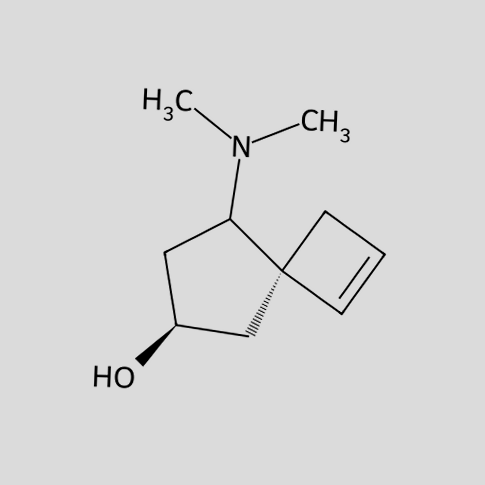 CN(C)C1C[C@H](O)C[C@]12C=CC2